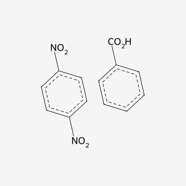 O=C(O)c1ccccc1.O=[N+]([O-])c1ccc([N+](=O)[O-])cc1